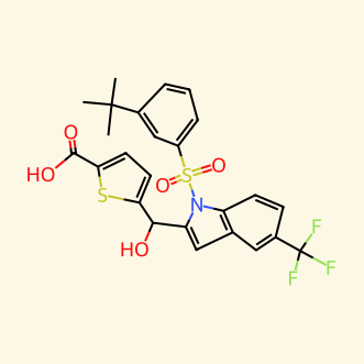 CC(C)(C)c1cccc(S(=O)(=O)n2c(C(O)c3ccc(C(=O)O)s3)cc3cc(C(F)(F)F)ccc32)c1